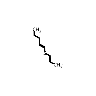 [CH2]CCSC=CCCC